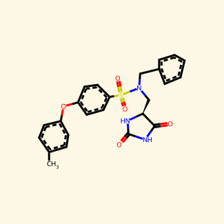 Cc1ccc(Oc2ccc(S(=O)(=O)N(Cc3ccccc3)C[C@@H]3NC(=O)NC3=O)cc2)cc1